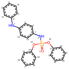 O=P(Nc1ccc(Nc2ccccc2)cc1)(Oc1ccccc1)Oc1ccccc1